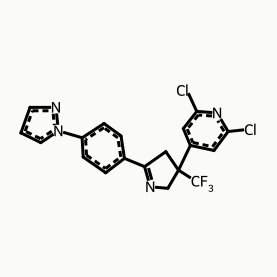 FC(F)(F)C1(c2cc(Cl)nc(Cl)c2)CN=C(c2ccc(-n3cccn3)cc2)C1